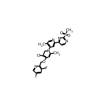 CC1=CC(OCc2ncc(F)cc2F)=C(Cl)CN1c1cc(-c2ccnc(S(C)(=O)=O)n2)ncc1C